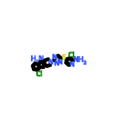 Nc1nccc(Sc2cnc(N3CCC4(CC3)Cc3c(Cl)cccc3[C@@H]4N)nn2)c1Cl